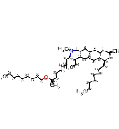 C=C(CCCCCCCN(C)CCCCCCCC(=C)OCCCCCCCCC)CC(CCCCCCCC)CCCCCCCC